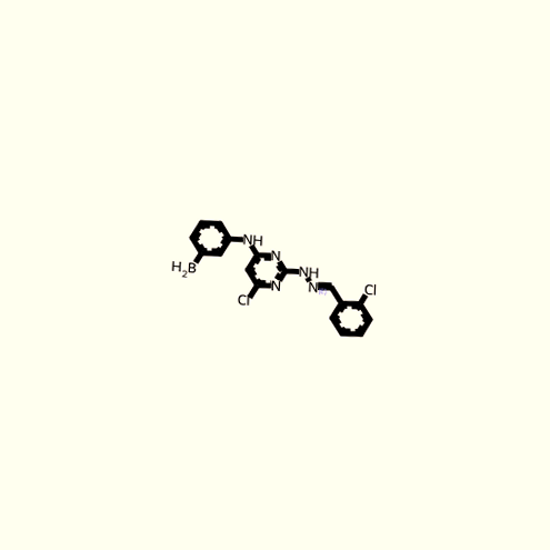 Bc1cccc(Nc2cc(Cl)nc(N/N=C/c3ccccc3Cl)n2)c1